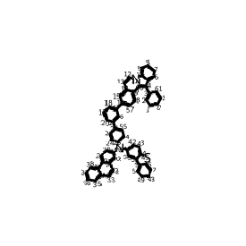 c1ccc(-c2c3ccccc3n3ccc4cc(-c5cccc(-c6ccc(N(c7ccc8c(ccc9ccccc98)c7)c7ccc8sc9ccccc9c8c7)cc6)c5)ccc4c23)cc1